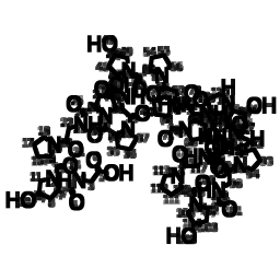 O=C(O)CNC(=O)[C@@H]1C[C@@H](O)CN1C(=O)[C@@H]1CCCN1C(=O)CNC(=O)[C@@H]1C[C@@H](O)CN1C(=O)[C@@H]1CCCN1C(=O)CNC(=O)[C@@H]1C[C@@H](O)CN1C(=O)[C@@H]1CCCN1C(=O)CNC(=O)[C@@H]1C[C@@H](O)CN1C(=O)[C@@H]1CCCN1C(=O)CNC(=O)[C@@H]1C[C@@H](O)CN1C(=O)[C@@H]1CCCN1C(=O)CNC(=O)[C@@H]1C[C@@H](O)CN1C(=O)[C@@H]1CCCN1C(=O)CNC(=O)[C@H](CS)NC(=O)[C@@H]1CCCN1